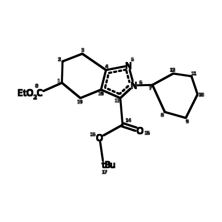 CCOC(=O)C1CCc2nn(C3CCCCC3)c(C(=O)OC(C)(C)C)c2C1